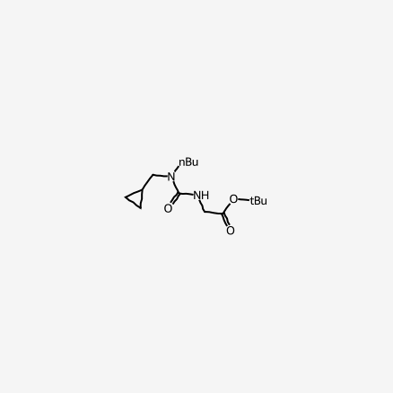 CCCCN(CC1CC1)C(=O)NCC(=O)OC(C)(C)C